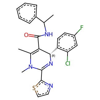 CC1=C(C(=O)NC(C)c2ccccc2)[C@H](c2ccc(F)cc2Cl)N=C(c2nccs2)N1C